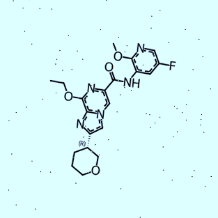 CCOc1nc(C(=O)Nc2cc(F)cnc2OC)cn2cc([C@H]3CCCOC3)nc12